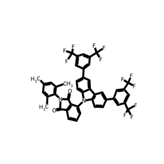 Cc1cc(C)c(N2C(=O)c3cccc(-n4c5ccc(-c6cc(C(F)(F)F)cc(C(F)(F)F)c6)cc5c5cc(-c6cc(C(F)(F)F)cc(C(F)(F)F)c6)ccc54)c3C2=O)c(C)c1